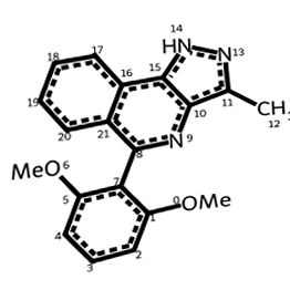 COc1cccc(OC)c1-c1nc2c(C)n[nH]c2c2ccccc12